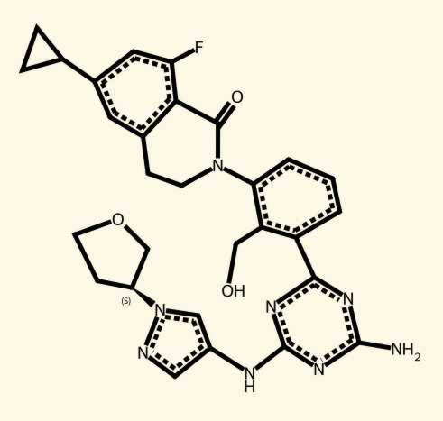 Nc1nc(Nc2cnn([C@H]3CCOC3)c2)nc(-c2cccc(N3CCc4cc(C5CC5)cc(F)c4C3=O)c2CO)n1